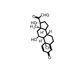 C[C@]12C=CC(=O)C=C1CC[C@@H]1[C@@H]2[C@@H](O)C[C@@]2(C)[C@H]1CC[C@]2(O)C(=O)C=O